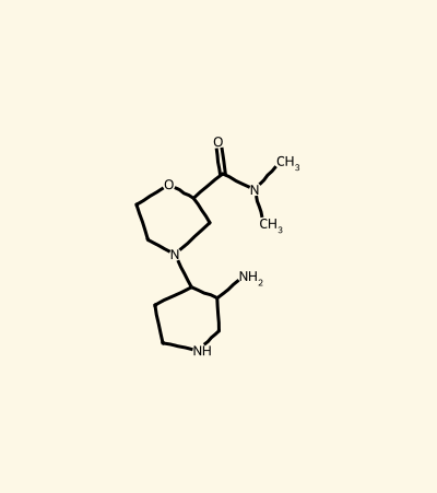 CN(C)C(=O)C1CN(C2CCNCC2N)CCO1